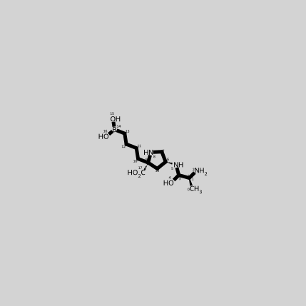 C[C@H](N)C(O)N[C@H]1CN[C@@](CCCCB(O)O)(C(=O)O)C1